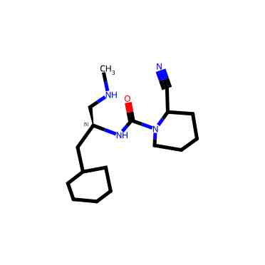 CNC[C@H](CC1CCCCC1)NC(=O)N1CCCCC1C#N